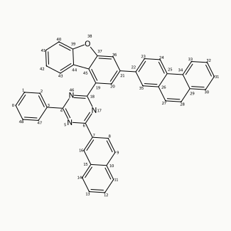 c1ccc(-c2nc(-c3ccc4ccccc4c3)nc(-c3cc(-c4ccc5c(ccc6ccccc65)c4)cc4oc5ccccc5c34)n2)cc1